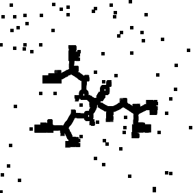 CCCCC(CC)COP(=O)(OCC(CC)CCCC)SCC(CC)CCCC